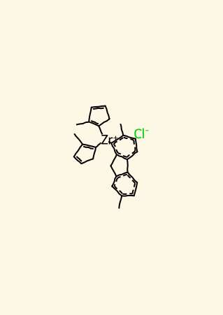 CC1=[C]([Zr+]([C]2=C(C)C=CC2)[c]2c(C)ccc3c2Cc2cc(C)ccc2-3)CC=C1.[Cl-]